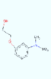 CN(c1cccc(OCCO)c1)[N+](=O)[O-]